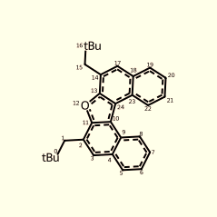 CC(C)(C)Cc1cc2ccccc2c2c1oc1c(CC(C)(C)C)cc3ccccc3c12